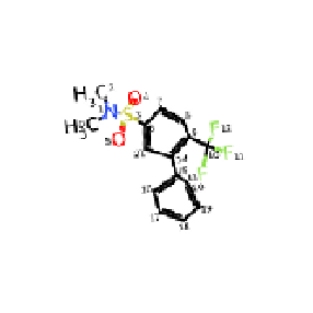 CN(C)S(=O)(=O)c1ccc(C(F)(F)F)c(-c2ccccc2)c1